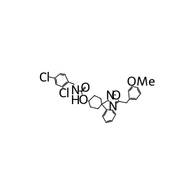 COc1cccc(Cc2nc(C3(c4ccccc4)CCC(OC(=O)NCc4ccc(Cl)cc4Cl)CC3)no2)c1